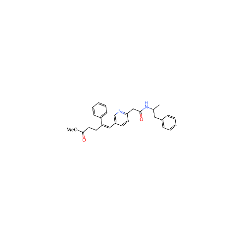 COC(=O)CCC(=Cc1ccc(CC(=O)NC(C)Cc2ccccc2)nc1)c1ccccc1